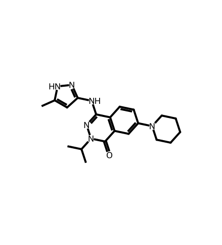 Cc1cc(Nc2nn(C(C)C)c(=O)c3cc(N4CCCCC4)ccc23)n[nH]1